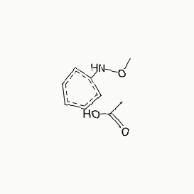 CC(=O)O.CONc1ccccc1